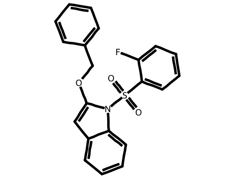 O=S(=O)(c1ccccc1F)n1c(OCc2ccccc2)cc2ccccc21